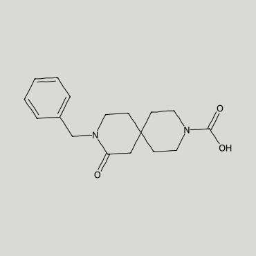 O=C(O)N1CCC2(CC1)CCN(Cc1ccccc1)C(=O)C2